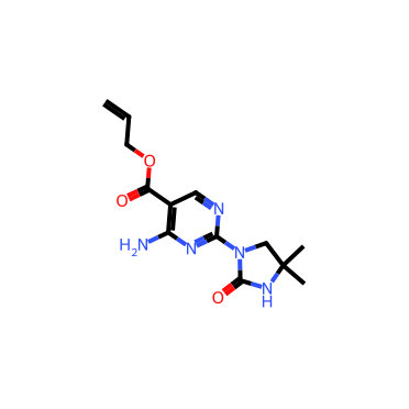 C=CCOC(=O)c1cnc(N2CC(C)(C)NC2=O)nc1N